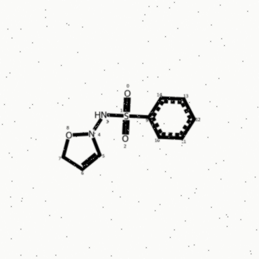 O=S(=O)(NN1C=CCO1)c1ccccc1